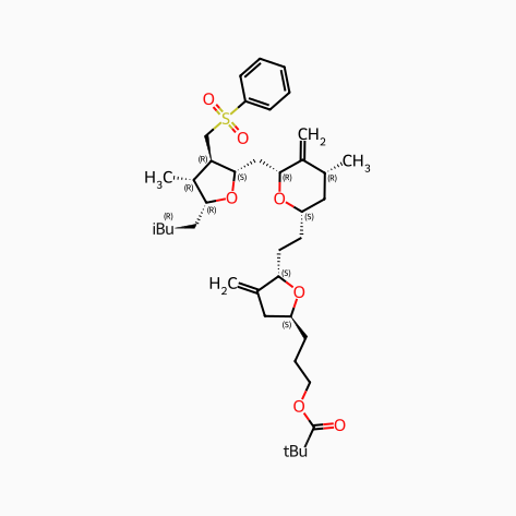 C=C1C[C@H](CCCOC(=O)C(C)(C)C)O[C@H]1CC[C@H]1C[C@@H](C)C(=C)[C@@H](C[C@@H]2O[C@H](C[C@H](C)CC)[C@H](C)[C@H]2CS(=O)(=O)c2ccccc2)O1